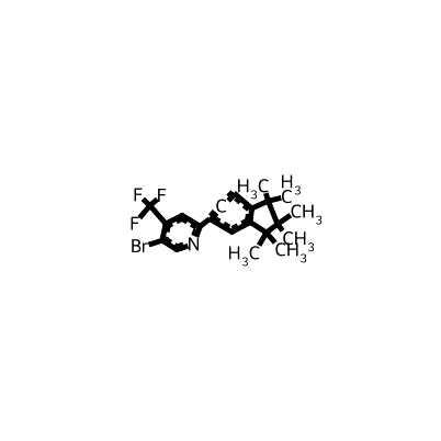 CC1(C)c2ccc(-c3cc(C(F)(F)F)c(Br)cn3)cc2C(C)(C)C1(C)C